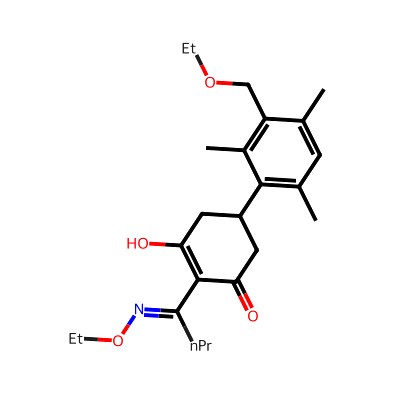 CCC/C(=N\OCC)C1=C(O)CC(c2c(C)cc(C)c(COCC)c2C)CC1=O